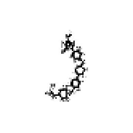 C=Cc1nc(C)n(-c2ccc(CC3=CC=C(c4ccc(CN5CCC(CN(C)C)CC5)cc4)CC3)cc2)n1